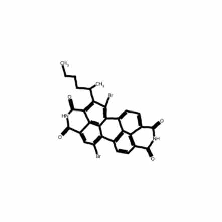 CCCCC(C)c1c2c3c(cc(Br)c4c5ccc6c7c(ccc(c(c1Br)c34)c75)C(=O)NC6=O)C(=O)NC2=O